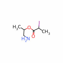 CC(CN)OC(=O)C(C)I